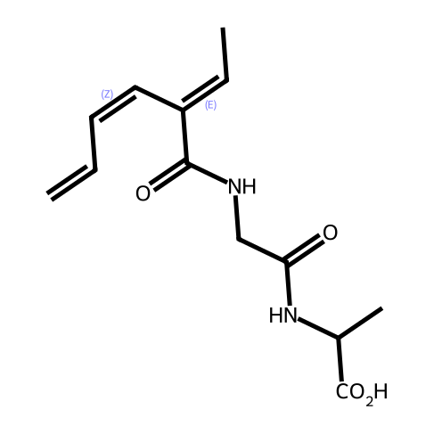 C=C/C=C\C(=C/C)C(=O)NCC(=O)NC(C)C(=O)O